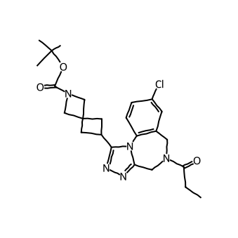 CCC(=O)N1Cc2cc(Cl)ccc2-n2c(nnc2C2CC3(C2)CN(C(=O)OC(C)(C)C)C3)C1